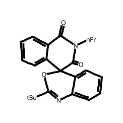 CCCN1C(=O)c2ccccc2C2(OC(C(C)(C)C)=Nc3ccccc32)C1=O